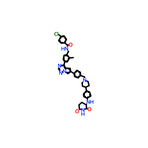 Cc1cc(-c2ncnn3cc(-c4ccc(CN5CCC(c6ccc(NC7CCC(=O)NC7=O)cc6)CC5)cc4)cc23)ccc1CNC(=O)c1ccc(Cl)cc1